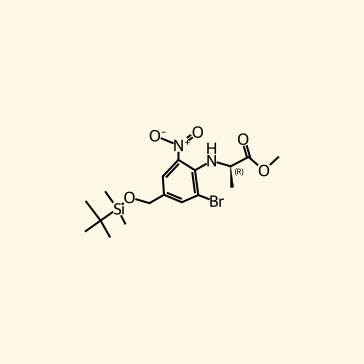 COC(=O)[C@@H](C)Nc1c(Br)cc(CO[Si](C)(C)C(C)(C)C)cc1[N+](=O)[O-]